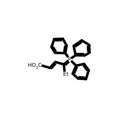 CCC(C=CC(=O)O)=P(c1ccccc1)(c1ccccc1)c1ccccc1